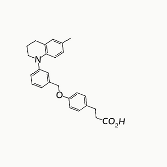 Cc1ccc2c(c1)CCCN2c1cccc(COc2ccc(CCC(=O)O)cc2)c1